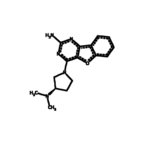 CN(C)[C@@H]1CCN(c2nc(N)nc3c2oc2ccccc23)C1